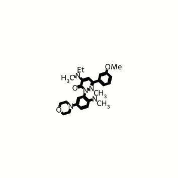 CCN(C)c1cc(-c2cccc(OC)c2)nn(-c2cc(N3CCOCC3)ccc2N(C)C)c1=O